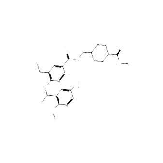 CCc1cc(C(=O)NCC2CCC(C(=O)OC)CC2)ccc1NC(C)c1cc(Cl)ccc1OC